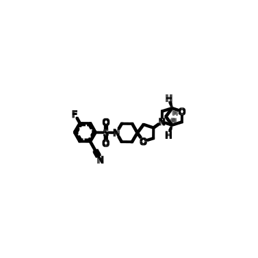 N#Cc1ccc(F)cc1S(=O)(=O)N1CCC2(CC1)CC(N1C[C@H]3C[C@@H]1CO3)CO2